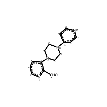 O=Cc1ncccc1N1CCN(c2ccncc2)CC1